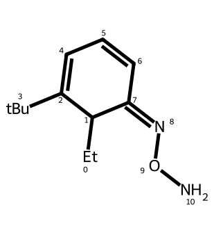 CCC1C(C(C)(C)C)=CC=C/C1=N/ON